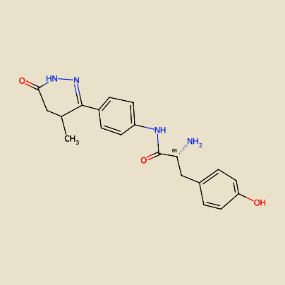 CC1CC(=O)NN=C1c1ccc(NC(=O)[C@H](N)Cc2ccc(O)cc2)cc1